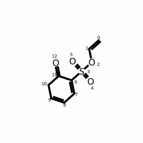 C=COS(=O)(=O)C1=CC=CCC1=O